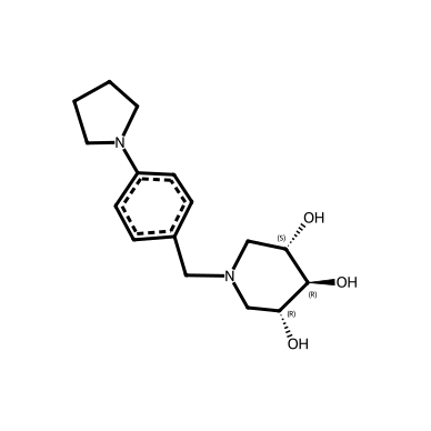 O[C@H]1[C@H](O)CN(Cc2ccc(N3CCCC3)cc2)C[C@@H]1O